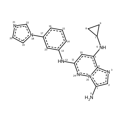 Nc1cnc2c(NC3CC3)cc(Nc3cccc(-n4ccnc4)c3)nn12